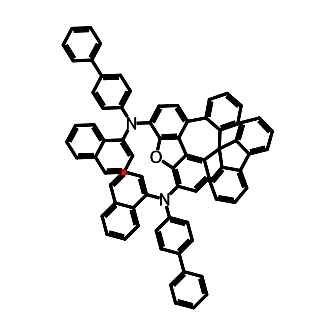 c1ccc(-c2ccc(N(c3cccc4ccccc34)c3ccc4c5c3oc3c(N(c6ccc(-c7ccccc7)cc6)c6cccc7ccccc67)ccc(c35)C3(c5ccccc5-c5ccccc53)c3ccccc3-4)cc2)cc1